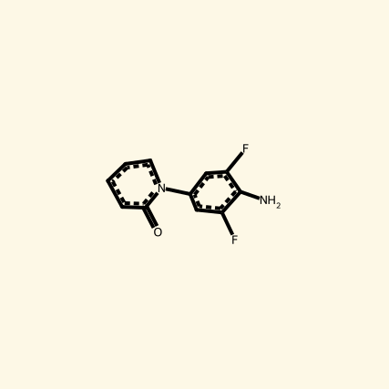 Nc1c(F)cc(-n2ccccc2=O)cc1F